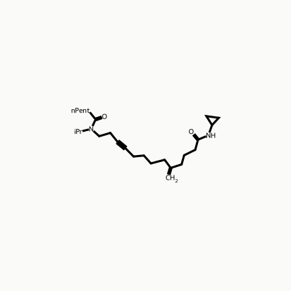 C=C(CCCCC#CCCN(C(=O)CCCCC)C(C)C)CCCC(=O)NC1CC1